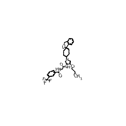 CCCOC1CN(C2CCC3(CC2)OCc2ccccc23)C[C@@H]1NC(=O)CNC(=O)c1cccc(C(F)(F)F)c1